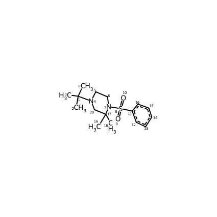 CC(C)(C)N1CCN(S(=O)(=O)c2ccccc2)C(C)(C)C1